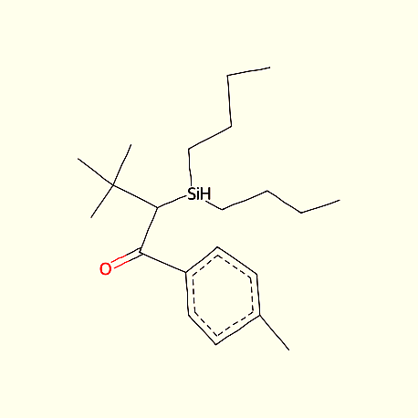 CCCC[SiH](CCCC)C(C(=O)c1ccc(C)cc1)C(C)(C)C